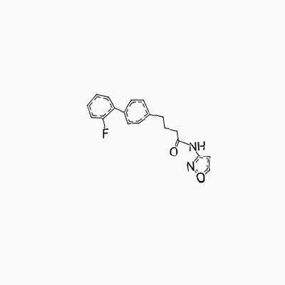 O=C(CCCc1ccc(-c2ccccc2F)cc1)Nc1ccon1